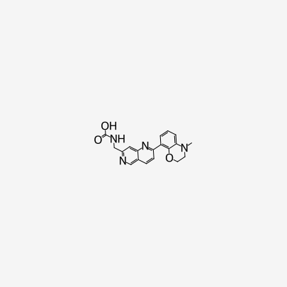 CN1CCOc2c(-c3ccc4cnc(CNC(=O)O)cc4n3)cccc21